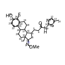 CO/N=C1\CC(CCC(=O)Nc2ncc(C)s2)C2C3CCc4c(ccc(O)c4F)C3CCC12C